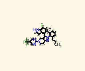 CCCc1cccc(CC)c1-n1nc2c(c1-c1ccc(F)c3[nH]ccc13)CN(c1ncc(C(F)(F)F)cn1)CC2